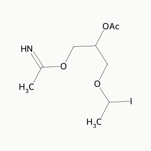 CC(=N)OCC(COC(C)I)OC(C)=O